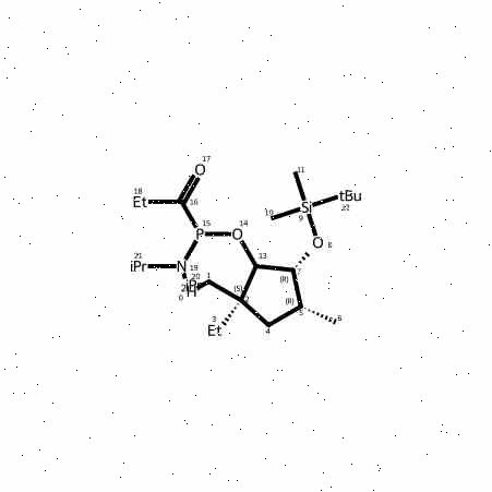 [2H]C[C@]1(CC)C[C@@H](C)[C@@H](O[Si](C)(C)C(C)(C)C)C1OP(C(=O)CC)N(C(C)C)C(C)C